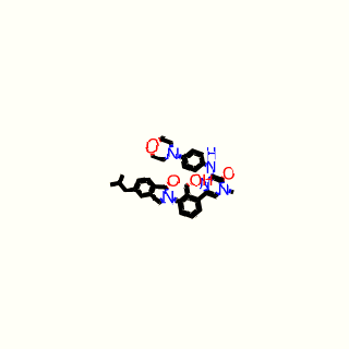 CC(C)Cc1ccc2c(c1)CN(c1cccc(-c3cn(C)c(=O)c(Nc4ccc(N5CCOCC5)cc4)n3)c1CO)C2=O